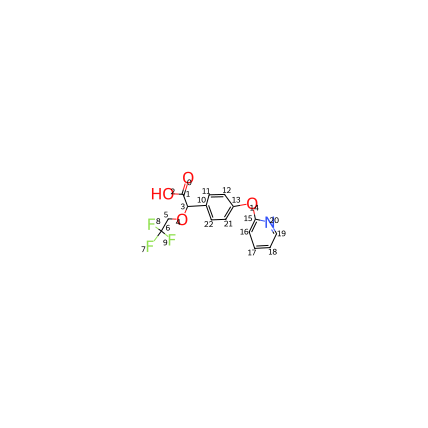 O=C(O)C(OCC(F)(F)F)c1ccc(Oc2ccccn2)cc1